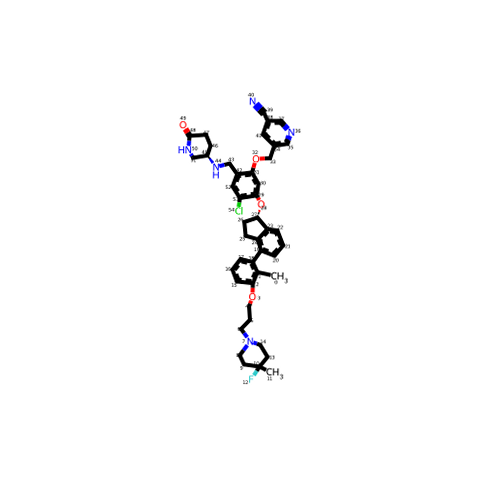 Cc1c(OCCCN2CCC(C)(F)CC2)cccc1-c1cccc2c1CC[C@@H]2Oc1cc(OCc2cncc(C#N)c2)c(CN[C@@H]2CCC(=O)NC2)cc1Cl